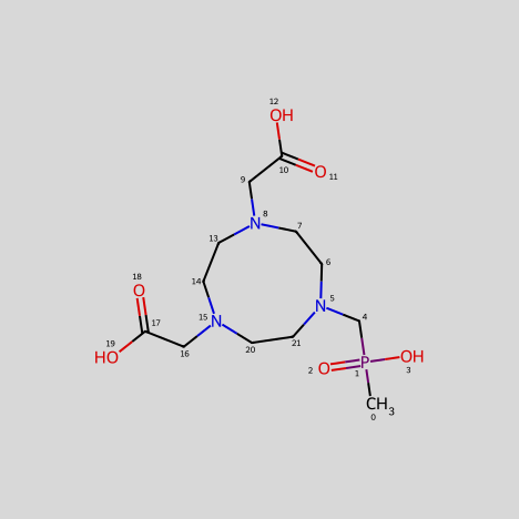 CP(=O)(O)CN1CCN(CC(=O)O)CCN(CC(=O)O)CC1